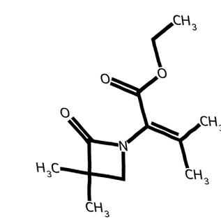 CCOC(=O)C(=C(C)C)N1CC(C)(C)C1=O